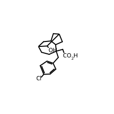 O=C(O)CC1(Cc2ccc(Cl)cc2)CCC2CC3CC(CC31)C2O